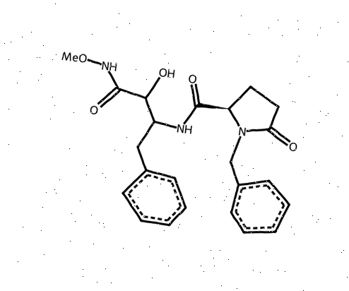 CONC(=O)C(O)C(Cc1ccccc1)NC(=O)[C@H]1CCC(=O)N1Cc1ccccc1